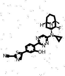 C[C@@]12CCC[C@@H](C[C@H](N(c3cnc(-c4ccc(-c5cnc(C#N)s5)cc4O)nn3)C3CC3)[C@@H]1F)N2